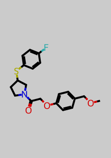 COCc1ccc(OCC(=O)N2CCC(Sc3ccc(F)cc3)C2)cc1